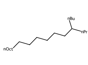 [CH2]CCC(CCCC)CCCCCCCCCCCCCC